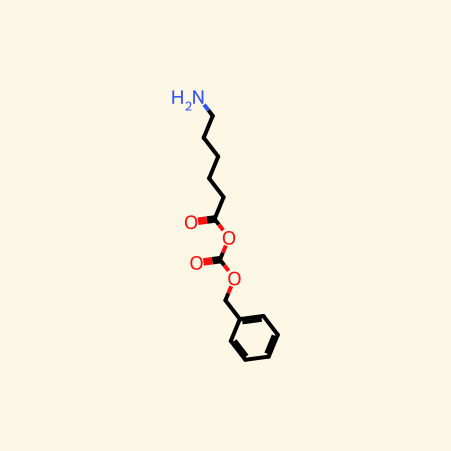 NCCCCCC(=O)OC(=O)OCc1ccccc1